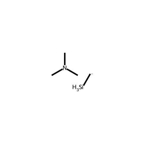 CN(C)C.[CH2][SiH3]